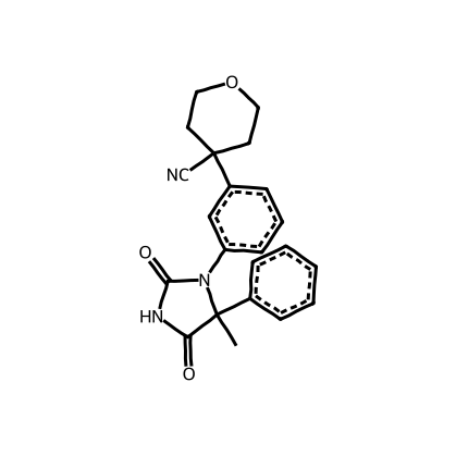 CC1(c2ccccc2)C(=O)NC(=O)N1c1cccc(C2(C#N)CCOCC2)c1